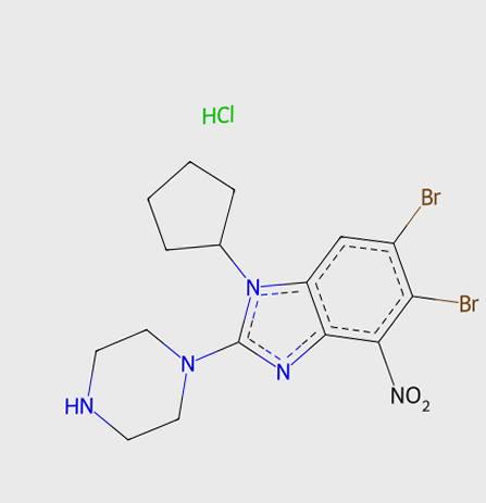 Cl.O=[N+]([O-])c1c(Br)c(Br)cc2c1nc(N1CCNCC1)n2C1CCCC1